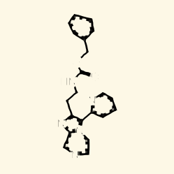 O=C(NCCc1nc2cnccn2c1-c1ccccn1)OCc1ccccc1